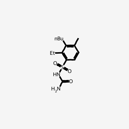 CCCCc1c(C)ccc(S(=O)(=O)NC(N)=O)c1CC